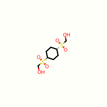 O=S(=O)(CO)[C@H]1CC[C@H](S(=O)(=O)CO)CC1